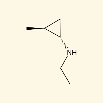 CCN[C@H]1C[C@@H]1C